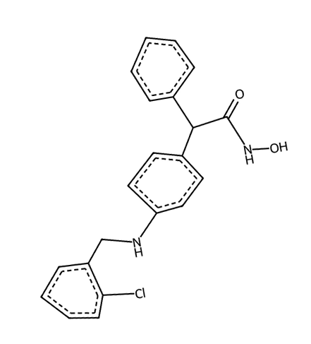 O=C(NO)C(c1ccccc1)c1ccc(NCc2ccccc2Cl)cc1